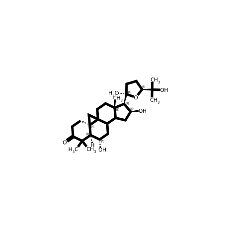 CC(C)(O)[C@@H]1CC[C@](C)([C@H]2[C@@H](O)CC3C4C[C@H](O)[C@H]5C(C)(C)C(=O)CC[C@@]56CC46CC[C@@]32C)O1